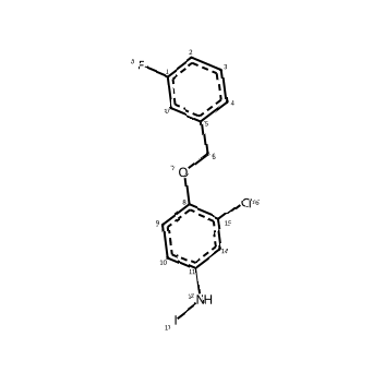 Fc1cccc(COc2ccc(NI)cc2Cl)c1